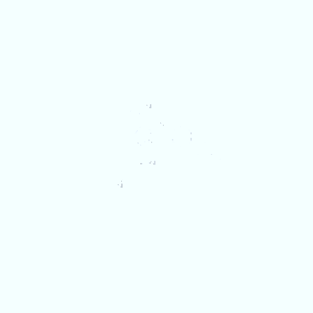 N=C1C[C@@H](NCC(F)F)CC[C@@H]1n1cc(C(N)=O)c(Nc2ccc(S(=O)(=O)C(F)(F)F)cc2)n1